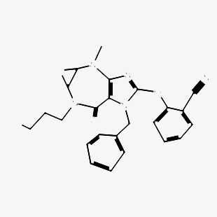 CN1c2nc(Oc3ccccc3C#N)n(Cc3ccccc3)c2C(=O)N(CCCO)C2OC21